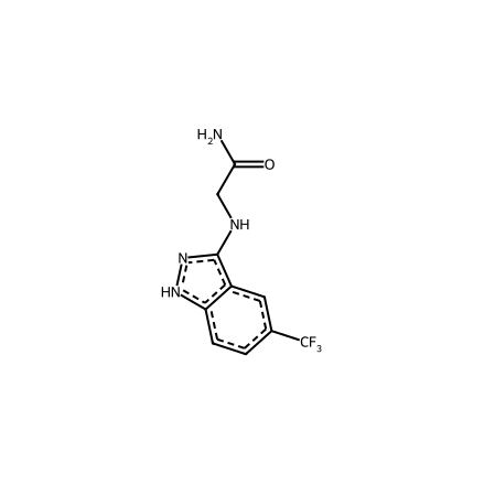 NC(=O)CNc1n[nH]c2ccc(C(F)(F)F)cc12